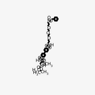 COC(=O)C(CNC(=O)OC(C)(C)C)NS(=O)(=O)c1ccc(-c2ccc(S(=O)(=O)NCCCOCCOCCOCCCN(C=O)OCc3ccccc3)cc2)cc1